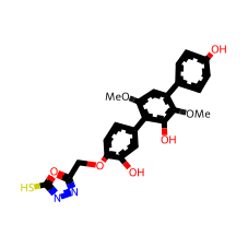 COc1cc(-c2ccc(O)cc2)c(OC)c(O)c1-c1ccc(OCc2nnc(S)o2)c(O)c1